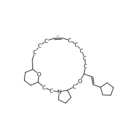 C(=CC1CCCCC/C=C\CCCCC2CCCC(CCN3CCCC3CO1)O2)C1CCCC1